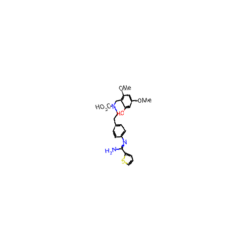 COc1cc(O)c(CN(CCc2ccc(/N=C(\N)c3cccs3)cc2)C(=O)O)c(OC)c1